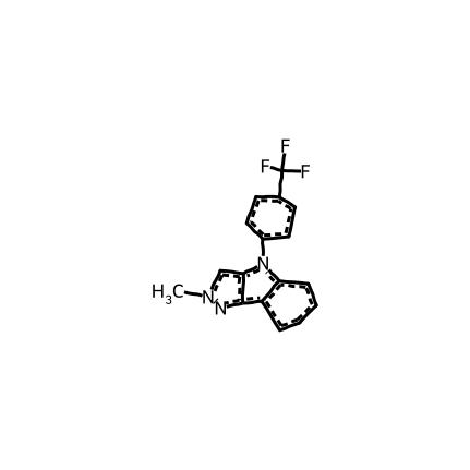 Cn1cc2c(n1)c1ccccc1n2-c1ccc(C(F)(F)F)cc1